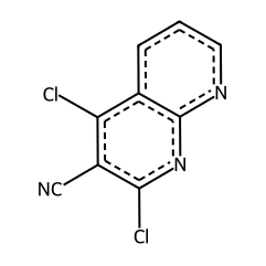 N#Cc1c(Cl)nc2ncccc2c1Cl